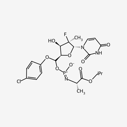 CC(C)OC(=O)[C@H](C)/N=[P+](\[O-])OC(Oc1ccc(Cl)cc1)[C@@H]1O[C@@H](n2ccc(=O)[nH]c2=O)[C@](C)(F)[C@@H]1O